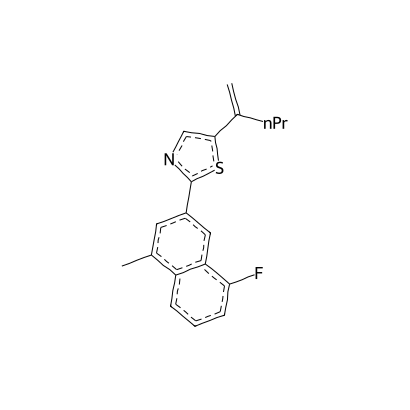 C=C(CCC)c1cnc(-c2cc(C)c3cccc(F)c3c2)s1